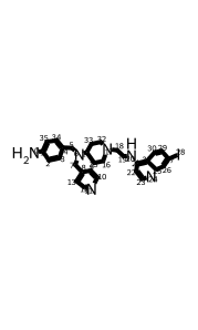 Nc1ccc(CN(Cc2ccncc2)C2CCN(CCNc3ccnc4cc(I)ccc34)CC2)cc1